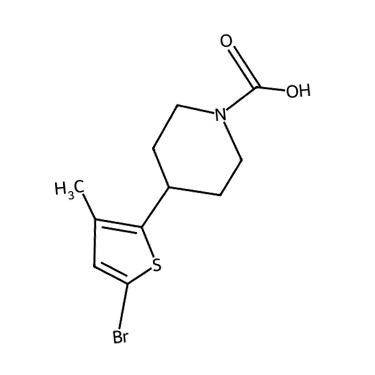 Cc1cc(Br)sc1C1CCN(C(=O)O)CC1